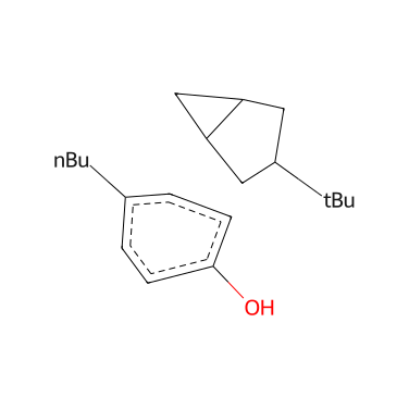 CC(C)(C)C1CC2CC2C1.CCCCc1ccc(O)cc1